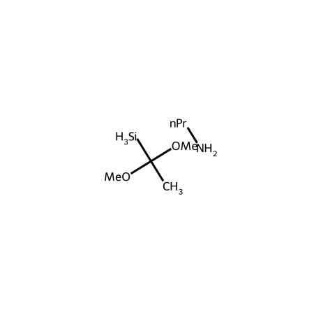 CCCN.COC(C)([SiH3])OC